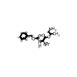 CC(CN)OC(=O)[C@H](NC(=O)OCc1ccccc1)C(C)C